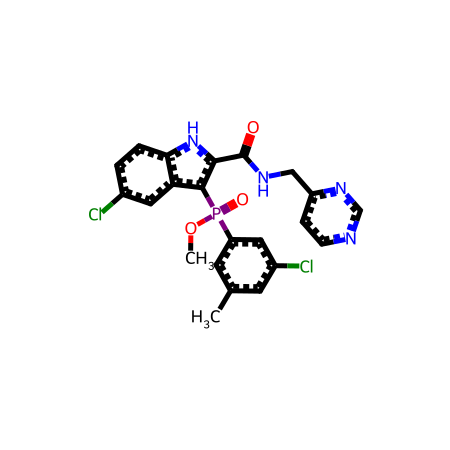 COP(=O)(c1cc(C)cc(Cl)c1)c1c(C(=O)NCc2ccncn2)[nH]c2ccc(Cl)cc12